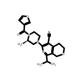 CC(C)c1nc(N2CCN(C(=O)c3ccoc3)[C@H](C)C2)c(C#N)c2c1COCC2